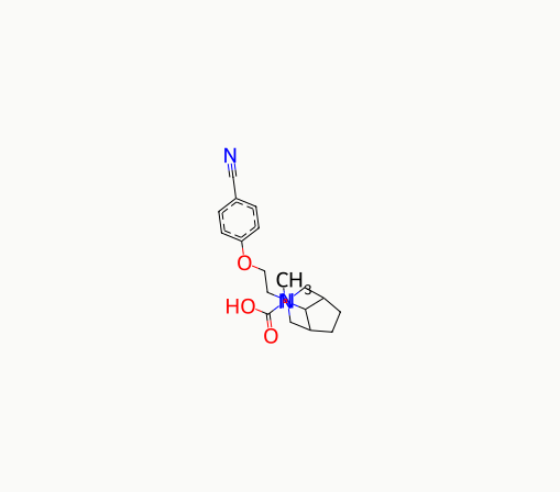 CN(C(=O)O)C1C2CCC1CN(CCOc1ccc(C#N)cc1)C2